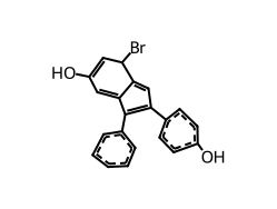 OC1=CC(Br)C2=CC(c3ccc(O)cc3)=C(c3ccccc3)C2=C1